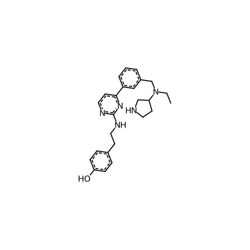 CCN(Cc1cccc(-c2ccnc(NCCc3ccc(O)cc3)n2)c1)C1CCNC1